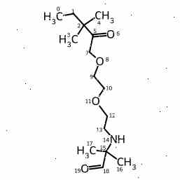 CCC(C)(C)C(=O)COCCOCCNC(C)(C)C=O